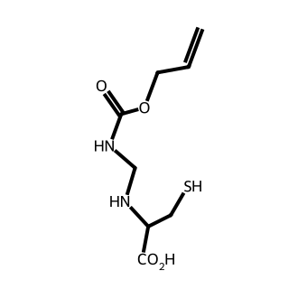 C=CCOC(=O)NCNC(CS)C(=O)O